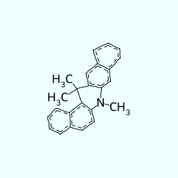 CN1c2cc3ccccc3cc2C(C)(C)c2c1ccc1ccccc21